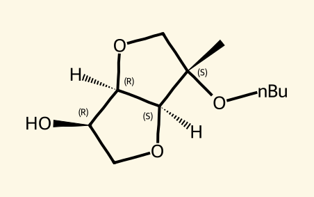 CCCCO[C@@]1(C)CO[C@@H]2[C@H](O)CO[C@@H]21